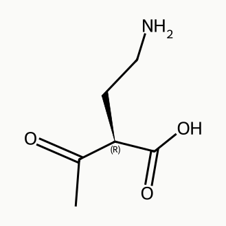 CC(=O)[C@@H](CCN)C(=O)O